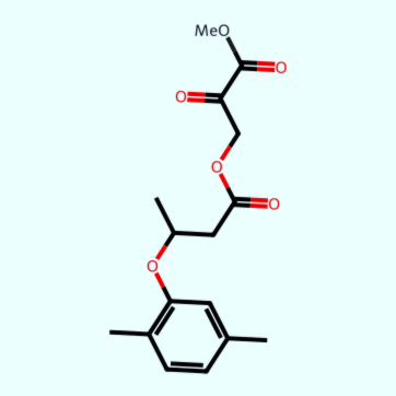 COC(=O)C(=O)COC(=O)CC(C)Oc1cc(C)ccc1C